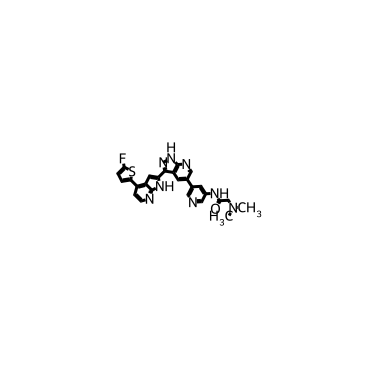 CN(C)CC(=O)Nc1cncc(-c2cnc3[nH]nc(-c4cc5c(-c6ccc(F)s6)ccnc5[nH]4)c3c2)c1